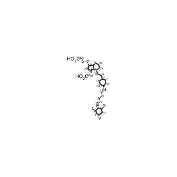 Cc1cc(C)c(OCCCCOc2ccc(C=Cc3cccc4c(CCCC(=O)O)cn(CC(=O)O)c34)cc2)c(C)c1